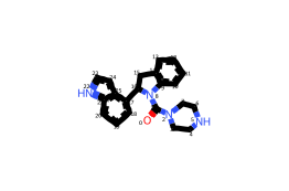 O=C(N1CCNCC1)N1c2ccccc2CC1c1cccc2[nH]ccc12